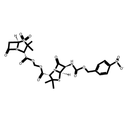 CC1(C)S[C@@H]2[C@H](NC(=O)OCc3ccc([N+](=O)[O-])cc3)C(=O)N2[C@H]1C(=O)OCOC(=O)[C@@H]1N2C(=O)C[C@H]2S(=O)(=O)C1(C)C